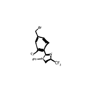 CC(C)n1cc(C(F)(F)F)nc1-c1ccc(CBr)cc1Cl